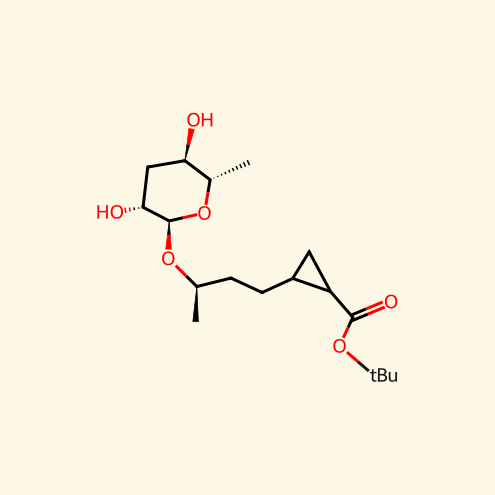 C[C@H](CCC1CC1C(=O)OC(C)(C)C)O[C@@H]1O[C@@H](C)[C@H](O)C[C@H]1O